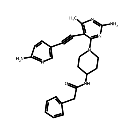 Cc1nc(N)nc(N2CCC(NC(=O)Cc3ccccc3)CC2)c1C#Cc1ccc(N)nc1